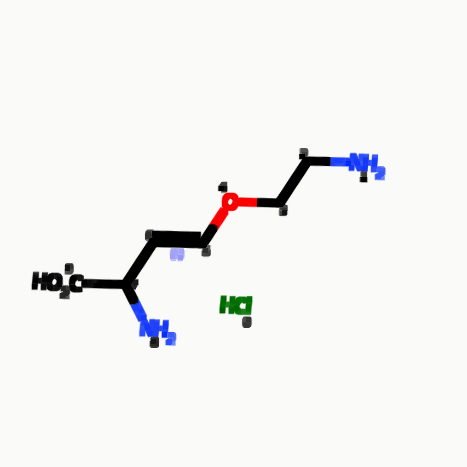 Cl.NCCO/C=C/C(N)C(=O)O